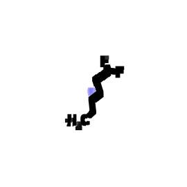 [CH2]C/C=C/C=C(F)F